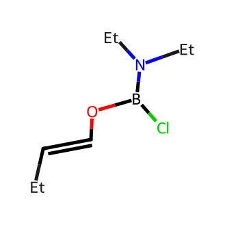 CC/C=C/OB(Cl)N(CC)CC